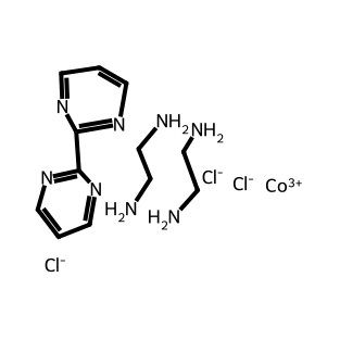 NCCN.NCCN.[Cl-].[Cl-].[Cl-].[Co+3].c1cnc(-c2ncccn2)nc1